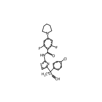 C#C[C@@](C)(c1ccc(Cl)cc1)c1csc(NC(=O)c2c(F)cc(N3CCCCC3)cc2F)n1